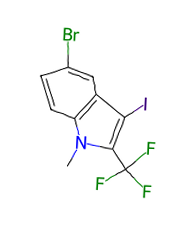 Cn1c(C(F)(F)F)c(I)c2cc(Br)ccc21